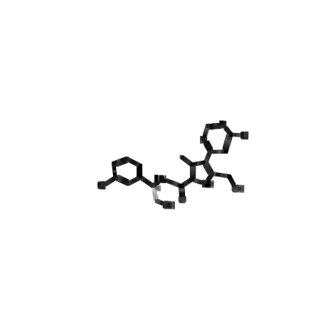 Cc1c(C(=O)N[C@H](CO)c2cccc(Cl)c2)[nH]c(CO)c1-c1cc(Cl)ncn1